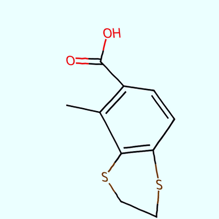 Cc1c(C(=O)O)ccc2c1SCCS2